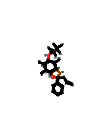 C=CCC1(c2ccccc2)Oc2c(C)c(C)c(O[Si](C)(C)C(C)(C)C)c(C)c2S1